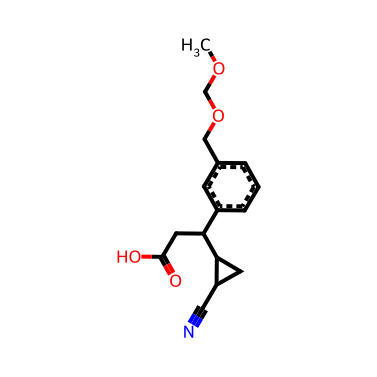 COCOCc1cccc(C(CC(=O)O)C2CC2C#N)c1